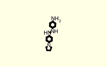 Nc1ccc(NNc2ccc(N3CCCC3)cc2)cc1